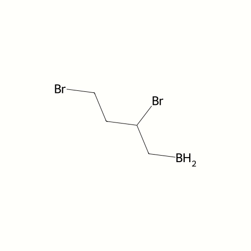 BCC(Br)CCBr